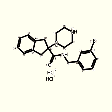 Cl.Cl.O=C(NCc1cccc(Br)c1)C1(N2CCNCC2)Cc2ccccc2C1